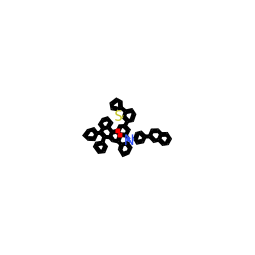 c1ccc(-c2c(-c3ccccc3)c3cc(-c4ccccc4N(c4ccc(-c5ccc6ccccc6c5)cc4)c4cccc(-c5cccc6c5sc5ccccc56)c4)ccc3c3ccccc23)cc1